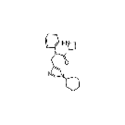 O=C([C@H]1CCN1)N(Cc1cn(C2CCCCC2)cn1)c1ccccc1